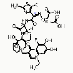 CCn1cc(C[N+]2(CC3=C(C(=O)O)N4C(=O)[C@@H](NC(=O)/C(=N\O[C@@H](CC(=O)O)C(=O)O)c5nc(N)sc5Cl)[C@H]4SC3)CCCC2)c(=O)c2c(F)c(O)c(O)cc21